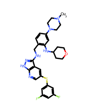 CN1CCN(c2ccc(CNc3n[nH]c4ncc(Sc5cc(F)cc(F)c5)cc34)c(NC3CCOCC3)c2)CC1